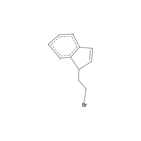 BrCCC1C=Cc2ccc[c]c21